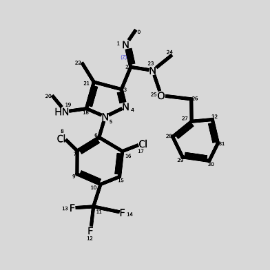 C/N=C(/c1nn(-c2c(Cl)cc(C(F)(F)F)cc2Cl)c(NC)c1C)N(C)OCc1ccccc1